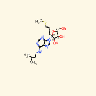 C=C(C)CCNc1ncnc2c1ncn2[C@]1(CC=CSC)O[C@H](CO)[C@@H](O)[C@H]1O